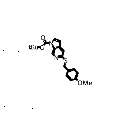 COc1ccc(CSc2cc3ccn(C(=O)OC(C)(C)C)c3cn2)cc1